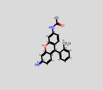 CCC(=O)Nc1ccc2c(-c3ccccc3C(=O)O)c3ccc(=N)cc-3oc2c1